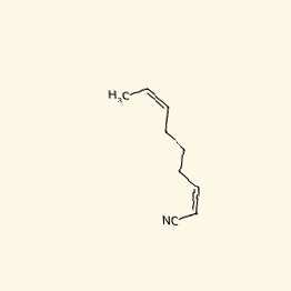 C/C=C\CCC/C=C\C#N